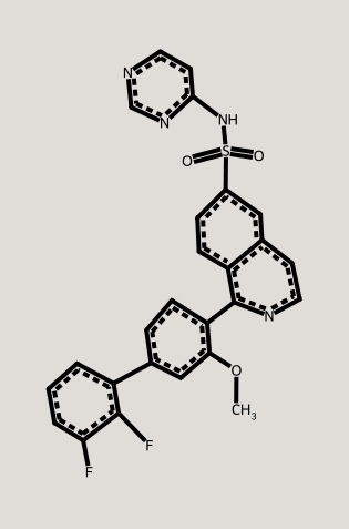 COc1cc(-c2cccc(F)c2F)ccc1-c1nccc2cc(S(=O)(=O)Nc3ccncn3)ccc12